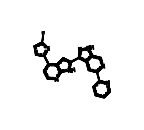 Fc1ccc(-c2ccnc3[nH]c(-c4n[nH]c5cnc(-c6ccccn6)cc45)cc23)s1